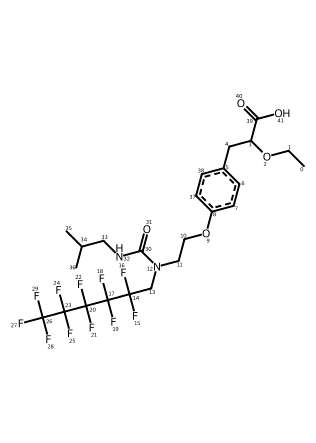 CCOC(Cc1ccc(OCCN(CC(F)(F)C(F)(F)C(F)(F)C(F)(F)C(F)(F)F)C(=O)NCC(C)C)cc1)C(=O)O